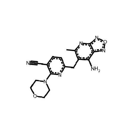 Cc1nc2nonc2c(N)c1Cc1ccc(C#N)c(N2CCOCC2)n1